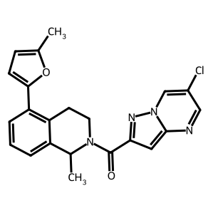 Cc1ccc(-c2cccc3c2CCN(C(=O)c2cc4ncc(Cl)cn4n2)C3C)o1